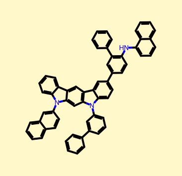 c1ccc(-c2cccc(-n3c4ccc(-c5ccc(Nc6cccc7ccccc67)c(-c6ccccc6)c5)cc4c4cc5c6ccccc6n(-c6ccc7ccccc7c6)c5cc43)c2)cc1